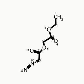 CCOC(=O)COC(=O)C=[N+]=[N-]